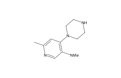 CNc1cnc(C)cc1N1CCNCC1